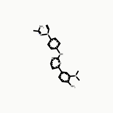 C=CN(/N=C(/C)N)c1ccc(Nc2nccc(-c3ccc(N)c(N(C)C)c3)n2)cc1